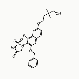 CC(C)(CO)CCOc1ccc2cc(OCc3ccccc3)c(N3CC(=O)NS3(=O)=O)c(F)c2c1